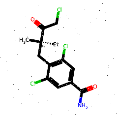 CC[C@@](C)(Cc1c(Cl)cc(C(N)=O)cc1Cl)C(=O)CCl